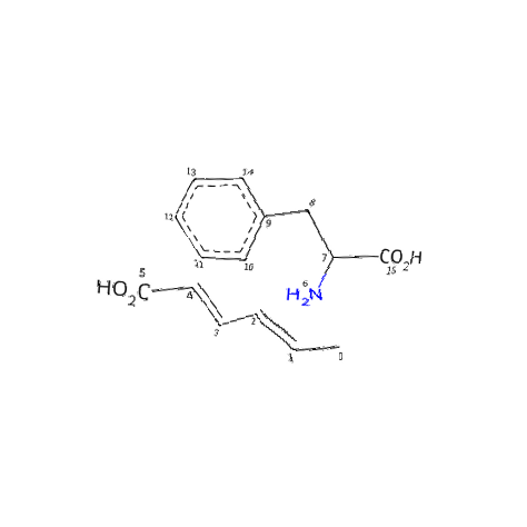 C/C=C/C=C/C(=O)O.NC(Cc1ccccc1)C(=O)O